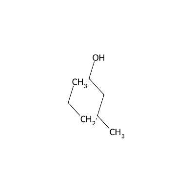 CCCCO.[CH2]CC